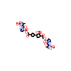 COC(=O)N[C@H](C(=O)N1CCC[C@H]1C(=O)OCC(=O)c1ccc(-c2ccc(C(=O)COC(=O)[C@@H]3CCCN3C(=O)[C@@H](NC(=O)OC)C(C)C)c3c2OCO3)cc1)C(C)C